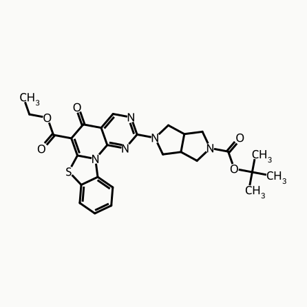 CCOC(=O)c1c(=O)c2cnc(N3CC4CN(C(=O)OC(C)(C)C)CC4C3)nc2n2c1sc1ccccc12